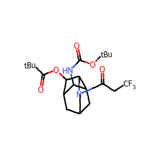 CC(C)(C)OC(=O)NC1C2CC3CC1C(C2OC(=O)C(C)(C)C)N(C(=O)CC(F)(F)F)C3